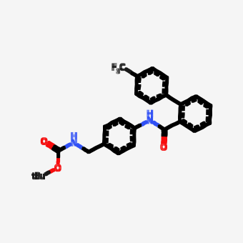 CC(C)(C)OC(=O)NCc1ccc(NC(=O)c2ccccc2-c2ccc(C(F)(F)F)cc2)cc1